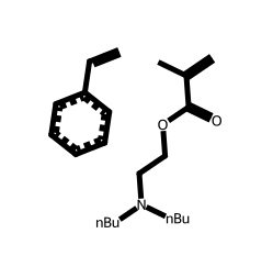 C=C(C)C(=O)OCCN(CCCC)CCCC.C=Cc1ccccc1